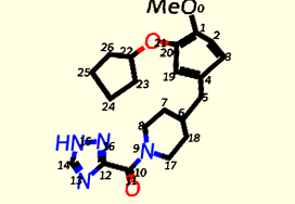 COc1ccc(CC2CCN(C(=O)c3nc[nH]n3)CC2)cc1OC1CCCC1